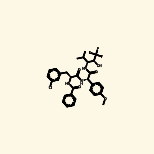 COc1ccc([C@H](NC(=O)[C@H](Cc2cccc(Cl)c2)NC(=O)c2ccccc2)C(=O)N[C@@H](C(C)C)[C@H](O)C(F)(F)F)cc1